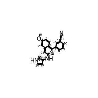 COc1ccc2c(-c3cccc(C#N)c3)nc(Nc3cc[nH]n3)cc2c1